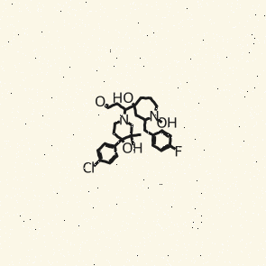 CC1(C)CN(C(CC=O)C2(O)CCCN(O)C(Cc3ccc(F)cc3)C2)CCC1(O)c1ccc(Cl)cc1